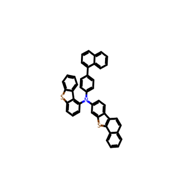 c1ccc2c(-c3ccc(N(c4ccc5c(c4)sc4c6ccccc6ccc54)c4cccc5sc6ccccc6c45)cc3)cccc2c1